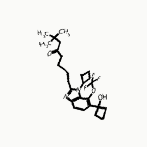 CC(C)(C)CC(=O)CCCCc1nc2ccc(C3(O)CCC3)c(OC(F)(F)F)c2n1C1CCC1